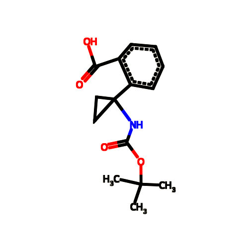 CC(C)(C)OC(=O)NC1(c2ccccc2C(=O)O)CC1